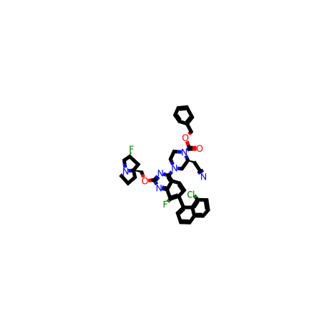 N#CC[C@H]1CN(c2nc(OC[C@@]34CCCN3C[C@H](F)C4)nc3c(F)c(-c4cccc5cccc(Cl)c45)ccc23)CCN1C(=O)OCc1ccccc1